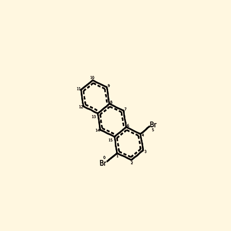 Brc1ccc(Br)c2cc3ccccc3cc12